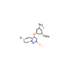 Bc1cc(Oc2cc(OC)cc([N+](=O)[O-])c2)c2cc(Br)ccc2n1